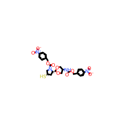 O=C(NC1COC([C@@H]2C[C@H](S)CN2C(=O)OCc2ccc([N+](=O)[O-])cc2)OC1)OCc1ccc([N+](=O)[O-])cc1